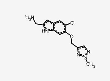 Cn1ncc(COc2cc3[nH]c(CN)cc3cc2Cl)n1